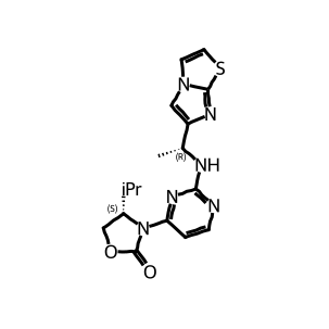 CC(C)[C@H]1COC(=O)N1c1ccnc(N[C@H](C)c2cn3ccsc3n2)n1